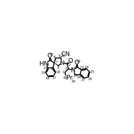 CC(C)CC(C(=O)N1C[C@]2(C[C@H]1C#N)C(=O)Nc1ccccc12)N1C(=O)c2ccccc2[C@@H]1C